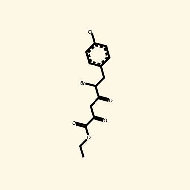 CCOC(=O)C(=O)CC(=O)C(Br)Cc1ccc(Cl)cc1